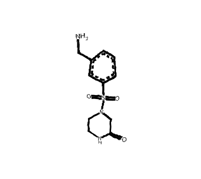 NCc1cccc(S(=O)(=O)N2CCNC(=O)C2)c1